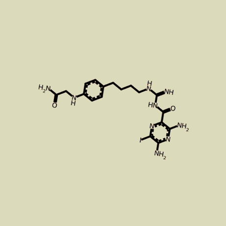 N=C(NCCCCc1ccc(NCC(N)=O)cc1)NC(=O)c1nc(I)c(N)nc1N